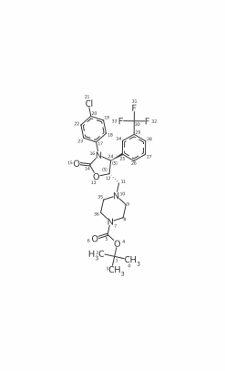 CC(C)(C)OC(=O)N1CCN(C[C@@H]2OC(=O)N(c3ccc(Cl)cc3)[C@H]2c2cccc(C(F)(F)F)c2)CC1